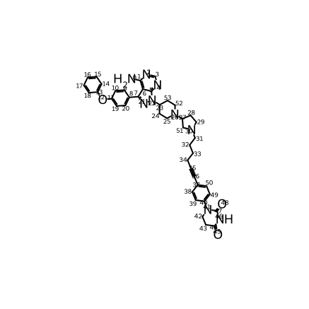 Nc1ncnc2c1c(-c1ccc(Oc3ccccc3)cc1)nn2C1CCN(C2CCN(CCCCC#Cc3ccc(N4CCC(=O)NC4=O)cc3)C2)CC1